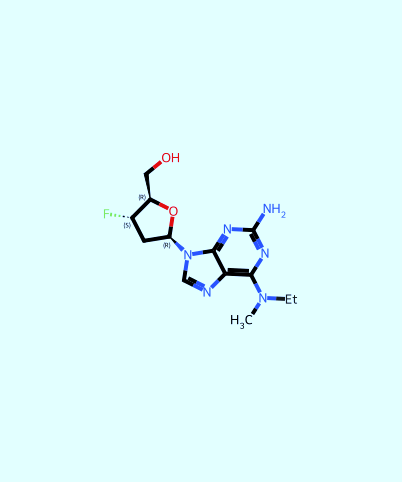 CCN(C)c1nc(N)nc2c1ncn2[C@H]1C[C@H](F)[C@@H](CO)O1